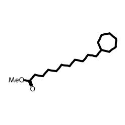 COC(=O)CCCCCCCCCCC1CCCCCC1